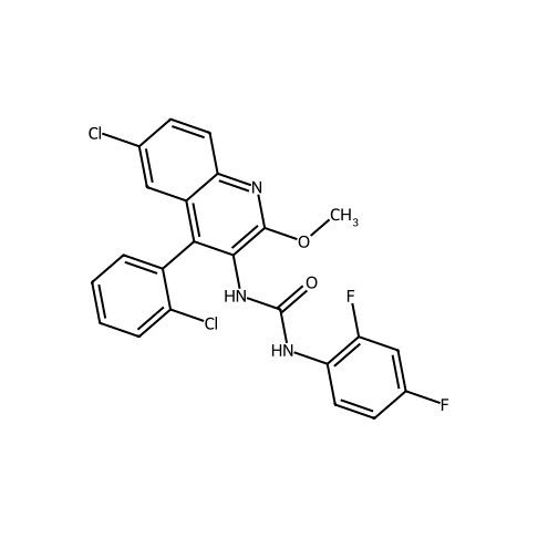 COc1nc2ccc(Cl)cc2c(-c2ccccc2Cl)c1NC(=O)Nc1ccc(F)cc1F